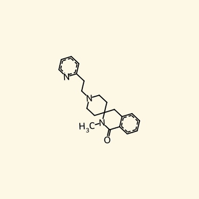 CN1C(=O)c2ccccc2CC12CCN(CCc1ccccn1)CC2